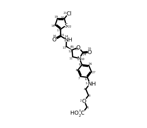 O=C(O)COCCNc1ccc(N2C[C@@H](CNC(=O)c3ccc(Cl)s3)OC2=O)cc1